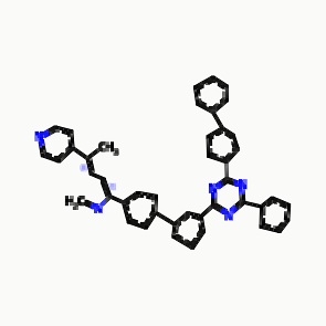 C=N/C(=C\C=C(/C)c1ccncc1)c1ccc(-c2cccc(-c3nc(-c4ccccc4)nc(-c4ccc(-c5ccccc5)cc4)n3)c2)cc1